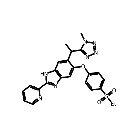 CCS(=O)(=O)c1ccc(Oc2cc3nc(-c4ccccn4)[nH]c3cc2C(C)c2nnnn2C)cc1